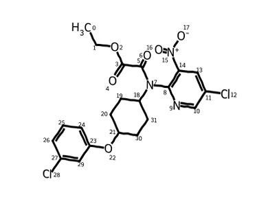 CCOC(=O)C(=O)N(c1ncc(Cl)cc1[N+](=O)[O-])C1CCC(Oc2cccc(Cl)c2)CC1